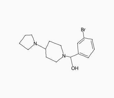 OC(c1cccc(Br)c1)N1CCC(N2CCCC2)CC1